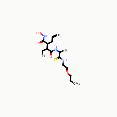 C=CCC(C(=O)NO)C(CC(C)C)C(=O)NC(C(=S)NCCOCCOC)C(C)(C)C